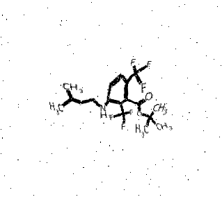 CC(C)CCNc1c[c]c(C(F)(F)F)c(C(=O)OC(C)(C)C)c1C(F)(F)F